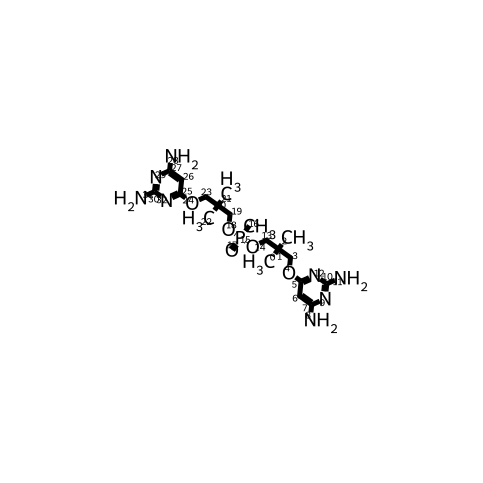 CC(C)(COc1cc(N)nc(N)n1)COP(C)(=O)OCC(C)(C)COc1cc(N)nc(N)n1